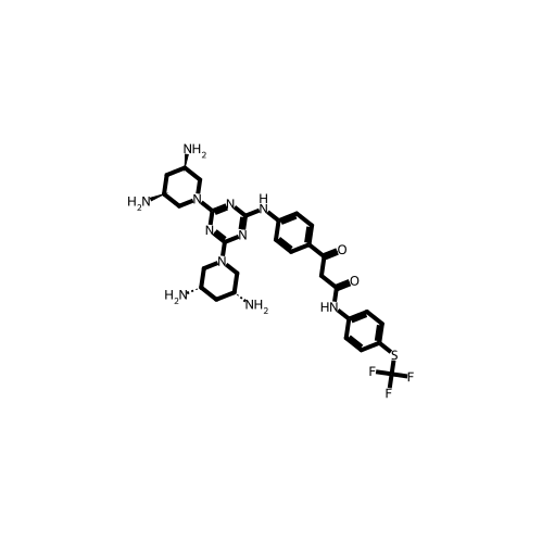 N[C@@H]1C[C@H](N)CN(c2nc(Nc3ccc(C(=O)CC(=O)Nc4ccc(SC(F)(F)F)cc4)cc3)nc(N3C[C@H](N)C[C@H](N)C3)n2)C1